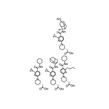 CCCCc1nc(N2CCC[C@@H](CC(=O)O)C2)ccc1C(=O)NC1CCCCC1.O=C(O)C[C@@H]1CCCN(c2ccc(C(=O)NC3C4CC5CC(C4)CC3C5)c(C3CC3)n2)C1.O=C(O)C[C@@H]1CCCN(c2ccc(C(=O)NC3CCCCC3)c(C3CC3)n2)C1.O=C(O)C[C@@H]1CCCN(c2ccc(C(=O)N[C@H]3C4CC5CC3C[C@@](O)(C5)C4)c(C3CC3)n2)C1